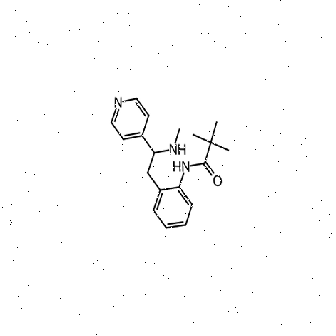 CNC(Cc1ccccc1NC(=O)C(C)(C)C)c1ccncc1